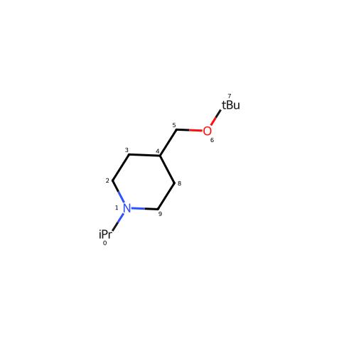 CC(C)N1CCC(COC(C)(C)C)CC1